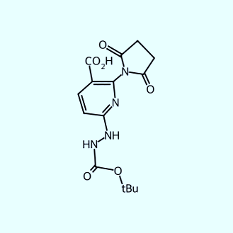 CC(C)(C)OC(=O)NNc1ccc(C(=O)O)c(N2C(=O)CCC2=O)n1